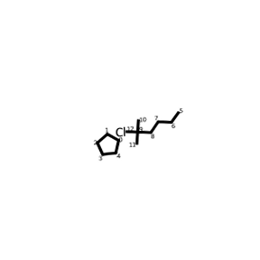 C1CCCC1.CCCCC(C)(C)Cl